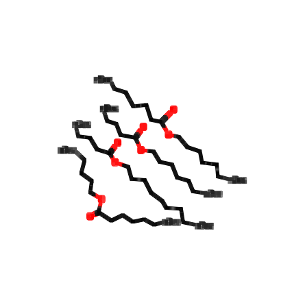 CCCCCCCCCCCCCCCC(=O)OCCCCCCCCCCCCCC.CCCCCCCCCCCCCCCCCCOC(=O)CCCCCCCCCCCCC.CCCCCCCCCCCCCCCCOC(=O)CCCCCCCCCCCCC.CCCCCCCCCCCCCCCCOC(=O)CCCCCCCCCCCCCCC